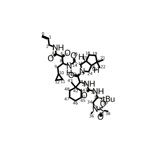 C=CCNC(=O)C(=O)C(CC1CC1)NC(=O)[C@@H]1[C@H]2CCC(C)(C)[C@H]2CN1C(=O)[C@@H](NC(=O)N[C@H](CN(C)S(C)(=O)=O)C(C)(C)C)C1(C)CCCCC1